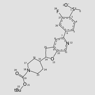 C[S+]([O-])c1ccc(-c2cc3c(cn2)OC(C2CCN(C(=O)OC(C)(C)C)CC2)C3)cc1F